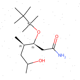 CC(O)C[C@@H](C)[C@H](CC(N)=O)O[Si](C)(C)C(C)(C)C